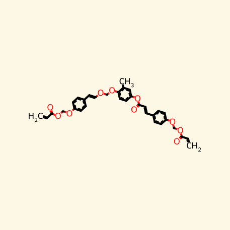 C=CC(=O)OCOc1ccc(C=COCOc2ccc(OC(=O)C=Cc3ccc(OCOC(=O)C=C)cc3)cc2C)cc1